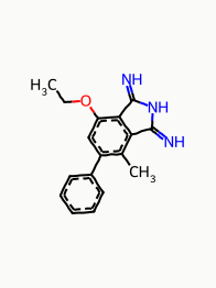 CCOc1cc(-c2ccccc2)c(C)c2c1C(=N)NC2=N